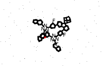 Fc1cc(-c2nc(-c3ccc4ccccc4c3)nc(-c3ccc4ccccc4c3)n2)ccc1-c1ccc2c(c1)-c1c(-c3ccc(-c4nc(-c5ccc6ccccc6c5)nc(-c5ccc6ccccc6c5)n4)cc3F)cccc1C21C2CC3CC4CC1C42C3